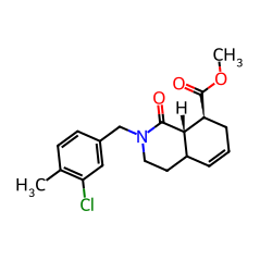 COC(=O)[C@H]1CC=CC2CCN(Cc3ccc(C)c(Cl)c3)C(=O)[C@@H]21